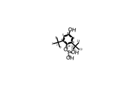 CC(C)(C)c1cc(O)cc(C(C)(C)C)c1OP(O)O